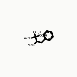 CNC(Cc1ccccc1)C(NC(C)=O)(C(=O)O)C(=O)O